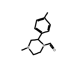 Cc1ccc(C2CN(C)CCN2[C]=O)cc1